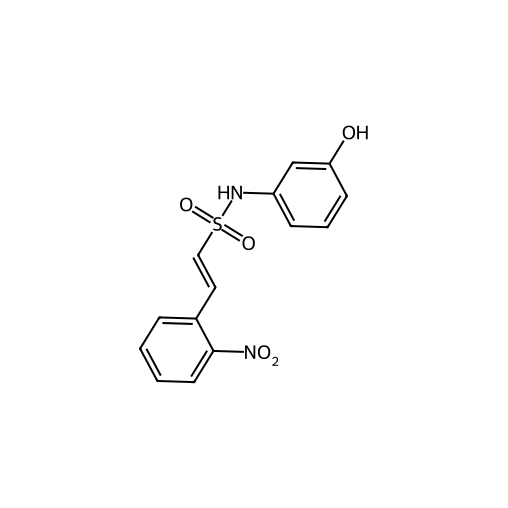 O=[N+]([O-])c1ccccc1C=CS(=O)(=O)Nc1cccc(O)c1